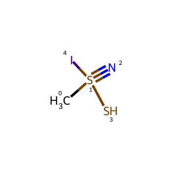 CS(#N)(S)I